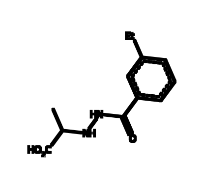 CCc1cccc(C(=O)NNC(C)C(=O)O)c1